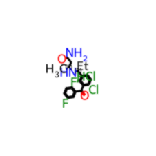 CC[C@@H](N[C@H](C)CC(N)=O)c1ccc(Cl)c(C(=O)c2cccc(F)c2)c1F.Cl